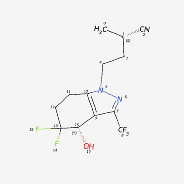 C[C@H](C#N)CCn1nc(C(F)(F)F)c2c1CCC(F)(F)[C@H]2O